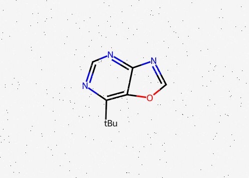 CC(C)(C)c1ncnc2ncoc12